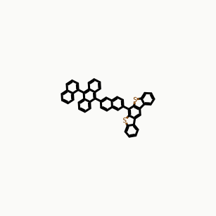 c1ccc2c(-c3c4ccccc4c(-c4ccc5cc(-c6c7sc8ccccc8c7cc7c6sc6ccccc67)ccc5c4)c4ccccc34)cccc2c1